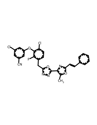 Cc1oc(C=Cc2ccccc2)nc1-c1nnc(Cc2ccc(Cl)c(Oc3cc(Cl)cc(C#N)c3)c2F)o1